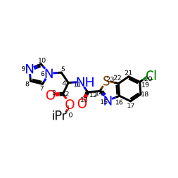 CC(C)OC(=O)C(Cn1ccnc1)NC(=O)c1nc2ccc(Cl)cc2s1